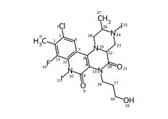 Cc1c(Cl)cc2c3c(c(=O)n(I)c2c1F)N(CCCO)C(=O)C1CN(I)C(C)CN31